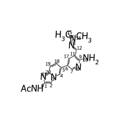 CC(=O)Nc1cn2cc(-c3cnc(N)c(C=NN(C)C)c3)ccc2n1